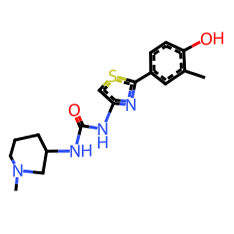 Cc1cc(-c2nc(NC(=O)NC3CCCN(C)C3)cs2)ccc1O